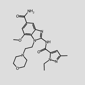 CCn1nc(C)cc1C(=O)Nc1nc2cc(C(N)=O)cc(OC)c2n1CCN1CCOCC1